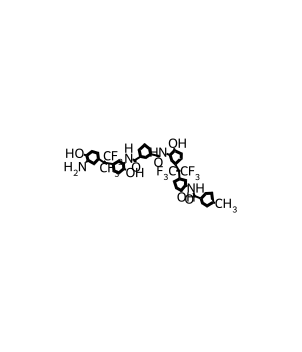 Cc1ccc(C(=O)Nc2cc(C(c3ccc(O)c(NC(=O)c4cccc(C(=O)Nc5cc(C(c6ccc(O)c(N)c6)(C(F)(F)F)C(F)(F)F)ccc5O)c4)c3)(C(F)(F)F)C(F)(F)F)ccc2O)cc1